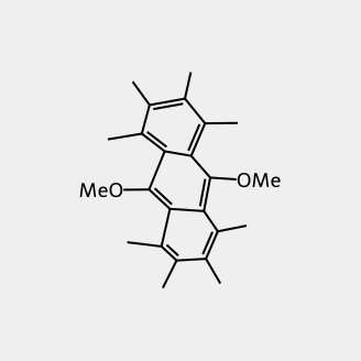 COc1c2c(C)c(C)c(C)c(C)c2c(OC)c2c(C)c(C)c(C)c(C)c12